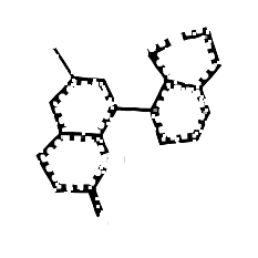 O=c1ccc2cc(I)cc(-c3cccc4ccccc34)c2[nH]1